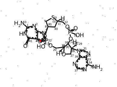 Nc1nc2c(ncn2[C@@]23CS[C@H](COP(=O)(O)O[C@@H]4[C@@H](COP(O)(=S)O2)OC[C@@]4(F)n2cnc4c(N)ncnc42)C3)c(=O)[nH]1